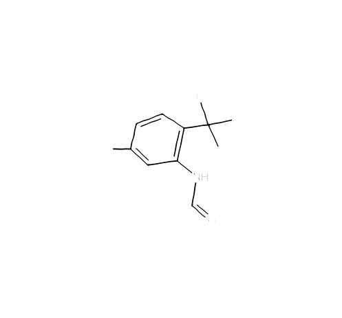 O=CNc1cc(Cl)ccc1C(F)(F)F